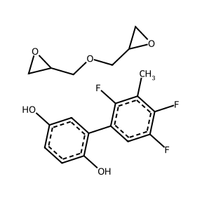 C(OCC1CO1)C1CO1.Cc1c(F)c(F)cc(-c2cc(O)ccc2O)c1F